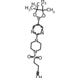 C#CCCS(=O)(=O)N1CCN(c2ncc(B3OC(C)(C)C(C)(C)O3)cn2)CC1